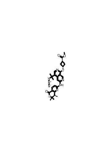 COC(=O)[C@H]1C[C@@H](Oc2ncc(C(C)(C)N=[N+]=[N-])c3cc(Nc4ccc5c(n4)[C@@H](C)C(C)(C)OC5=O)ncc23)C1